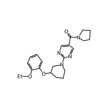 CCOc1ccccc1OC1CCCN(c2ncc(C(=O)N3CCCC3)cn2)C1